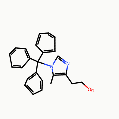 Cc1c(CCO)ncn1C(c1ccccc1)(c1ccccc1)c1ccccc1